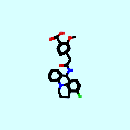 COc1cc(CC(=O)NC(c2ccc(Cl)cc2)c2ccccc2N2CCCCC2)ccc1C(=O)O